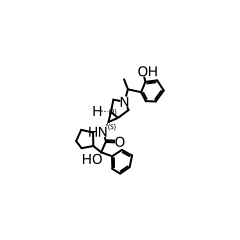 CC(c1ccccc1O)N1CC2[C@H](C1)[C@H]2NC(=O)C(O)(c1ccccc1)C1CCCC1